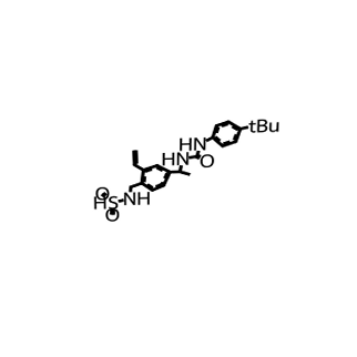 C=Cc1cc(C(C)NC(=O)Nc2ccc(C(C)(C)C)cc2)ccc1CN[SH](=O)=O